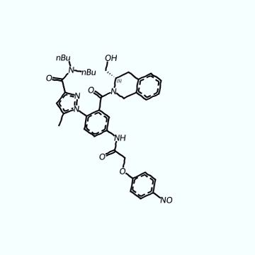 CCCCN(CCCC)C(=O)c1cc(C)n(-c2ccc(NC(=O)COc3ccc(N=O)cc3)cc2C(=O)N2Cc3ccccc3C[C@H]2CO)n1